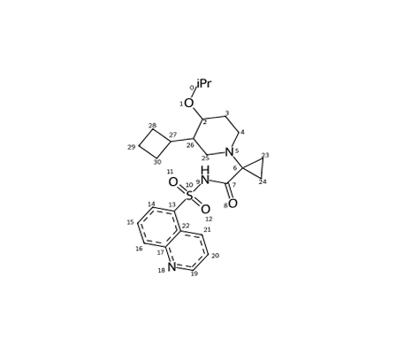 CC(C)OC1CCN(C2(C(=O)NS(=O)(=O)c3cccc4ncccc34)CC2)CC1C1CCC1